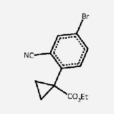 CCOC(=O)C1(c2ccc(Br)cc2C#N)CC1